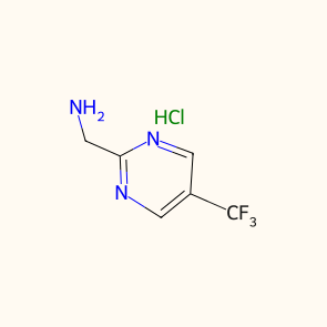 Cl.NCc1ncc(C(F)(F)F)cn1